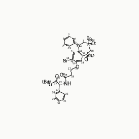 CCCCC1(CC)CN(c2ccccc2)c2cc(Br)c(OCCC(=O)N[C@@H](C(=O)OC(C)(C)C)c3ccccc3)cc2S(=O)(=O)C1